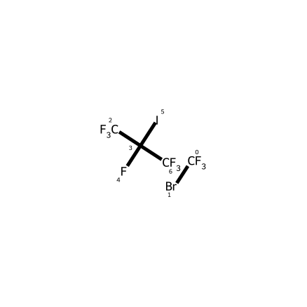 FC(F)(F)Br.FC(F)(F)C(F)(I)C(F)(F)F